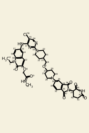 CCn1c(=O)c(OCC(=O)NC)cc2cc(Nc3nc(N4CCC(COC5CCN(c6ccc7c(c6)C(=O)N(C6CCC(=O)NC6=O)C7=O)CC5)CC4)ncc3Cl)ccc21